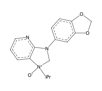 CC(C)[N+]1([O-])CN(c2ccc3c(c2)OCO3)c2ncccc21